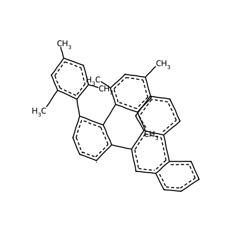 Cc1cc(C)c(-c2cc[c]c(-c3cc4ccccc4c4ccccc34)c2-c2c(C)cc(C)cc2C)c(C)c1